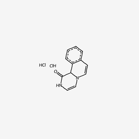 Cl.Cl.O=C1NC=CN2C=Cc3ccccc3C12